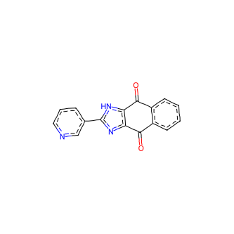 O=C1c2ccccc2C(=O)c2[nH]c(-c3cccnc3)nc21